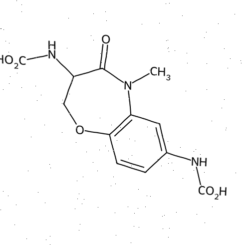 CN1C(=O)C(NC(=O)O)COc2ccc(NC(=O)O)cc21